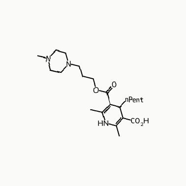 CCCCCC1C(C(=O)O)=C(C)NC(C)=C1C(=O)OCCCN1CCN(C)CC1